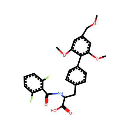 COCc1cc(OC)c(-c2ccc(CC(NC(=O)c3c(F)cccc3F)C(=O)O)cc2)c(OC)c1